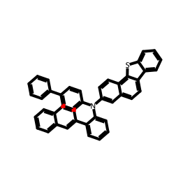 c1ccc(-c2ccc(N(c3ccc4c(ccc5c6ccccc6sc45)c3)c3ccccc3-c3ccc4ccccc4c3)cc2)cc1